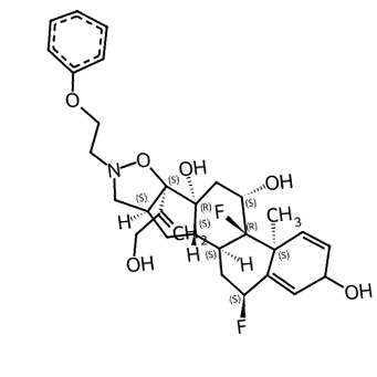 C=C(CO)[C@@]12ON(CCOc3ccccc3)C[C@@H]1C[C@H]1[C@@H]3C[C@H](F)C4=CC(O)C=C[C@]4(C)[C@@]3(F)[C@@H](O)C[C@@]12O